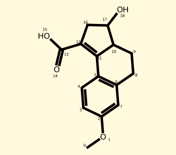 COc1ccc2c(c1)CCC1C2=C(C(=O)O)CC1O